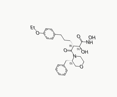 CCOc1ccc(CCC[C@@H](C(=O)N2CCOC[C@@H]2Cc2ccccc2)[C@H](O)C(=O)NO)cc1